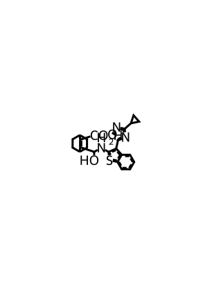 O=C(O)C1=C(C(O)Nc2sc3ccccc3c2-c2nc(C3CC3)no2)C2CCC1CC2